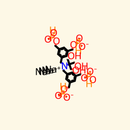 O=[PH]([O-])OCc1cc(CO[PH](=O)[O-])cc(CN(Cc2cc(CO[PH](=O)[O-])cc(CO[PH](=O)[O-])c2)C(CO)(CO)CO)c1.[Na+].[Na+].[Na+].[Na+]